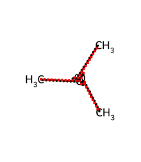 CCCCCCCCCCCCCCCCCCc1ccc(OP(Oc2ccc(CCCCCCCCCCCCCCCCCC)cc2)Oc2ccc(CCCCCCCCCCCCCCCCCC)cc2)cc1